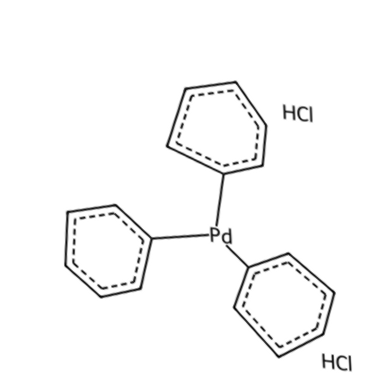 Cl.Cl.c1cc[c]([Pd]([c]2ccccc2)[c]2ccccc2)cc1